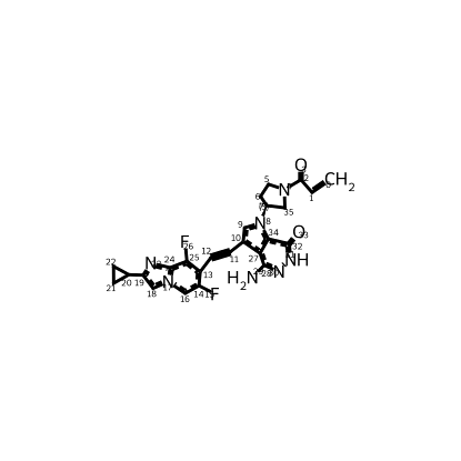 C=CC(=O)N1CC[C@H](n2cc(C#Cc3c(F)cn4cc(C5CC5)nc4c3F)c3c(N)n[nH]c(=O)c32)C1